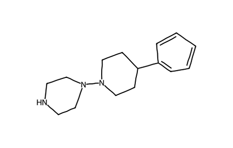 c1ccc(C2CCN(N3CCNCC3)CC2)cc1